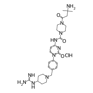 CC(C)(N)CC(=O)N1CCN(C(=O)Nc2ccn(-c3ccc(CN4CCC(NC(=N)N)CC4)cc3)c(=O)n2)CC1.Cl